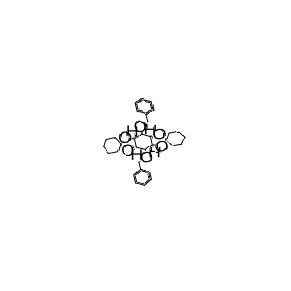 c1ccc(CO[C@@H]2[C@H]3OC4(CCCCC4)O[C@H]3[C@@H](OCc3ccccc3)[C@@H]3OC4(CCCCC4)O[C@@H]23)cc1